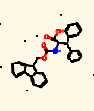 O=C(NC(C(=O)O)C(c1ccccc1)c1ccccc1)OCC1c2ccccc2-c2ccccc21